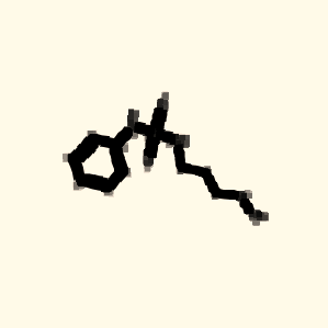 CC(C)(C)OCCCNS(=O)(=O)Nc1ccccc1